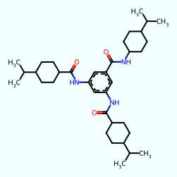 CC(C)C1CCC(NC(=O)c2cc(NC(=O)C3CCC(C(C)C)CC3)cc(NC(=O)C3CCC(C(C)C)CC3)c2)CC1